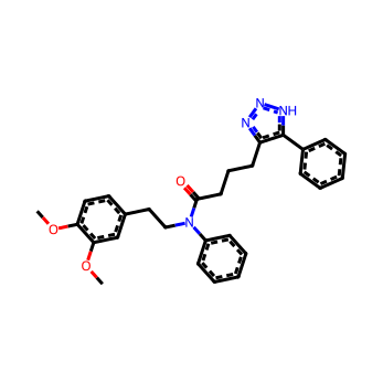 COc1ccc(CCN(C(=O)CCCc2nn[nH]c2-c2ccccc2)c2ccccc2)cc1OC